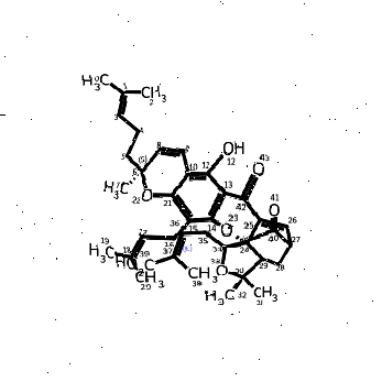 CC(C)=CCC[C@@]1(C)C=Cc2c(O)c3c(c(CC=C(C)C)c2O1)O[C@]12C(=CC4CC1C(C)(C)OC2(C/C=C(\C)C(=O)O)C4=O)C3=O